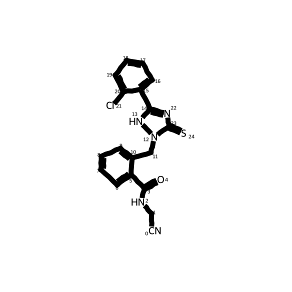 N#CCNC(=O)c1ccccc1Cn1[nH]c(-c2ccccc2Cl)nc1=S